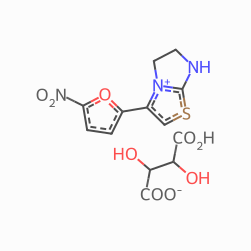 O=C([O-])C(O)C(O)C(=O)O.O=[N+]([O-])c1ccc(-c2csc3[n+]2CCN3)o1